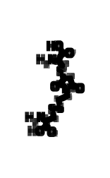 NC(CSSCCN1C(=O)CC(SCC(N)C(=O)O)C1=O)C(=O)O